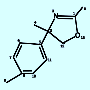 CC1=NC(C)(c2ccc(C)cc2)[CH]O1